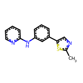 Cc1ncc(-c2cccc(Nc3ccccn3)c2)s1